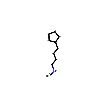 [CH2]CCNCCCCC1CCCC1